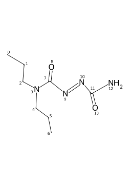 CCCN(CCC)C(=O)N=NC(N)=O